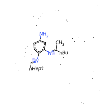 CCCCCCC/C=N/c1ccc(N)cc1/N=C(\C)CCCC